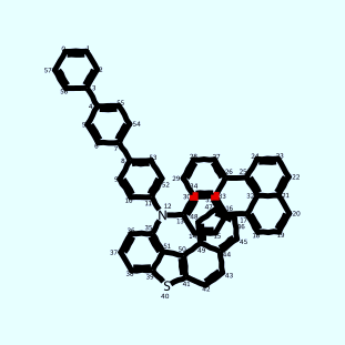 c1ccc(-c2ccc(-c3ccc(N(c4ccc(-c5cccc6cccc(-c7ccccc7)c56)cc4)c4cccc5sc6ccc7ccccc7c6c45)cc3)cc2)cc1